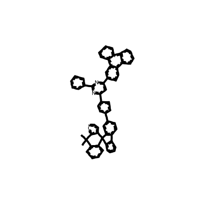 CC1(C)c2ccccc2C2(c3ccccc3-c3ccc(-c4ccc(-c5cc(-c6ccc7c8ccccc8c8ccccc8c7c6)nc(-c6ccccc6)n5)cc4)cc32)c2ccccc21